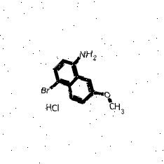 COc1ccc2c(Br)ccc(N)c2c1.Cl